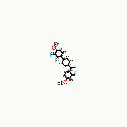 C=C(c1ccc(OCC)c(F)c1F)C1CCC(c2ccc(OCC)c(F)c2F)CC1